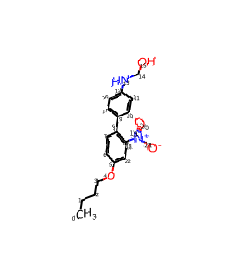 CCCCOc1ccc(-c2ccc(NCO)cc2)c([N+](=O)[O-])c1